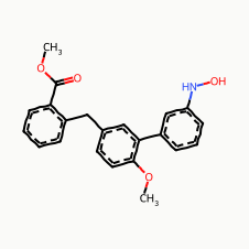 COC(=O)c1ccccc1Cc1ccc(OC)c(-c2cccc(NO)c2)c1